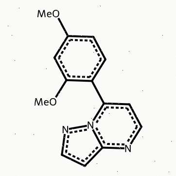 COc1ccc(-c2ccnc3ccnn23)c(OC)c1